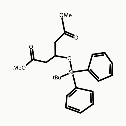 COC(=O)CC(CC(=O)OC)O[Si](c1ccccc1)(c1ccccc1)C(C)(C)C